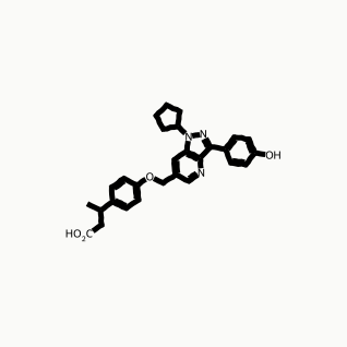 CC(CC(=O)O)c1ccc(OCc2cnc3c(-c4ccc(O)cc4)nn(C4CCCC4)c3c2)cc1